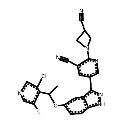 CC(Oc1ccc2[nH]nc(-c3cnc(N4CC(C#N)C4)c(C#N)c3)c2c1)c1c(Cl)cncc1Cl